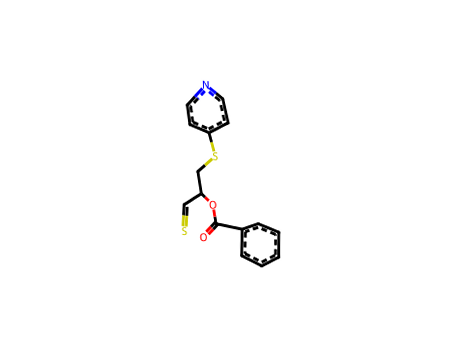 O=C(OC(C=S)CSc1ccncc1)c1ccccc1